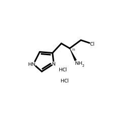 Cl.Cl.N[C@H](CCl)Cc1c[nH]cn1